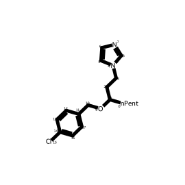 CCCCCC(CCn1ccnc1)OCc1ccc(Cl)cc1